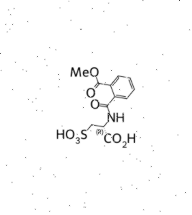 COC(=O)c1ccccc1C(=O)N[C@@H](CS(=O)(=O)O)C(=O)O